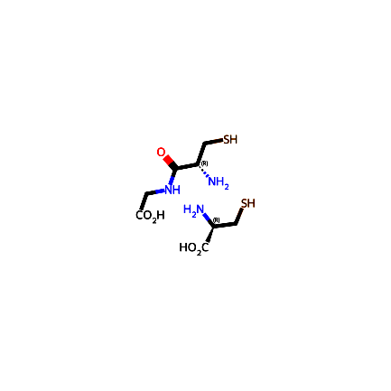 N[C@@H](CS)C(=O)NCC(=O)O.N[C@@H](CS)C(=O)O